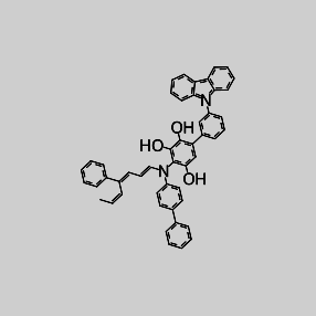 C\C=C/C(=C\C=C\N(c1ccc(-c2ccccc2)cc1)c1c(O)cc(-c2cccc(-n3c4ccccc4c4ccccc43)c2)c(O)c1O)c1ccccc1